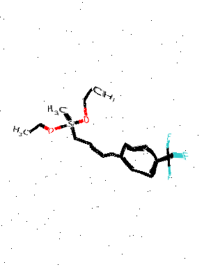 CCO[Si](C)(CCCc1ccc(C(F)(F)F)cc1)OCC